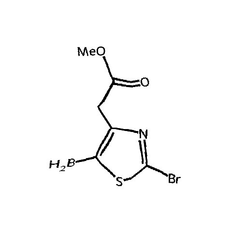 Bc1sc(Br)nc1CC(=O)OC